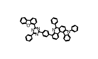 c1ccc(-c2nc(-c3ccc(-c4cccc5c4nc(-c4ccccc4)c4ccc6c(c7ccccc7n6-c6ccccc6)c45)cc3)nc(-c3cccc4c3oc3ccccc34)n2)cc1